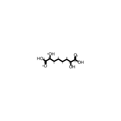 O=C(O)C(O)CCCCC(O)C(=O)O